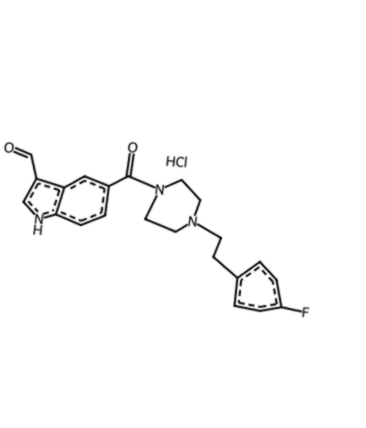 Cl.O=Cc1c[nH]c2ccc(C(=O)N3CCN(CCc4ccc(F)cc4)CC3)cc12